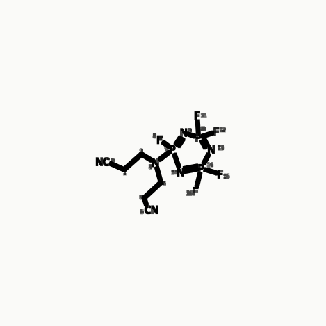 N#CCCN(CCC#N)P1(F)=NP(F)(F)=NP(F)(F)=N1